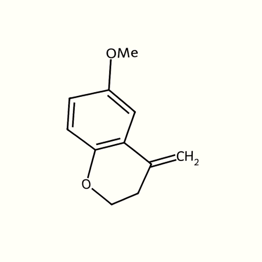 C=C1CCOc2ccc(OC)cc21